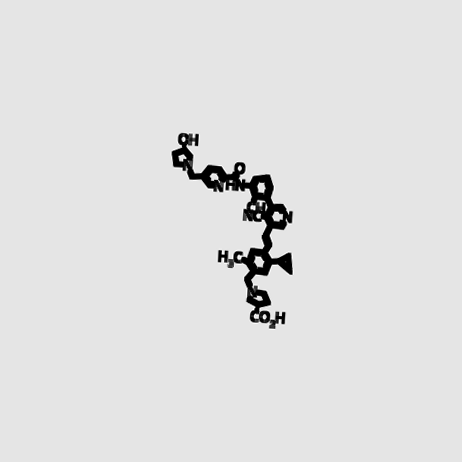 Cc1cc(/C=C/c2cncc(-c3cccc(NC(=O)c4ccc(CN5CC[C@@H](O)C5)cn4)c3C)c2C#N)c(C2CC2)cc1CN1CC[C@@H](C(=O)O)C1